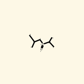 CC(C)C[P](=O)C(C)C